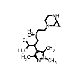 Cc1nn(C)c(C)c1C(CN(C)CCN1CCNC2CC21)C(C)Cl